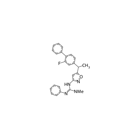 CN/C(=N/c1ccccc1)Nc1cc(C(C)c2ccc(-c3ccccc3)c(F)c2)on1